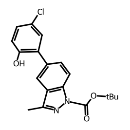 Cc1nn(C(=O)OC(C)(C)C)c2ccc(-c3cc(Cl)ccc3O)cc12